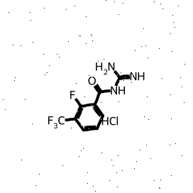 Cl.N=C(N)NC(=O)c1cccc(C(F)(F)F)c1F